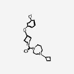 O=C(N1CCCN(C2CCC2)CC1)N1CC(Oc2cccc(Cl)c2)C1